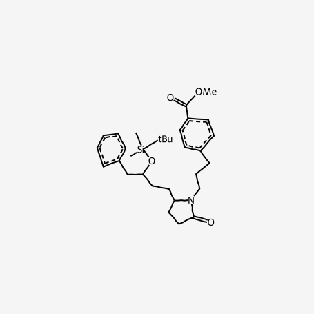 COC(=O)c1ccc(CCCN2C(=O)CCC2CCC(Cc2ccccc2)O[Si](C)(C)C(C)(C)C)cc1